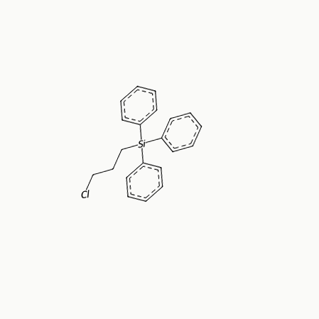 ClCCC[Si](c1ccccc1)(c1ccccc1)c1ccccc1